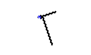 CCCCCCCCCCCCCCCCCCC1(CCCCCCCCC)CN(C)C1